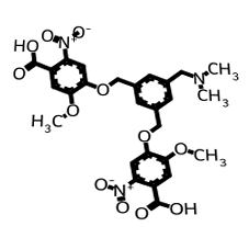 COc1cc(C(=O)O)c([N+](=O)[O-])cc1OCc1cc(COc2cc([N+](=O)[O-])c(C(=O)O)cc2OC)cc(CN(C)C)c1